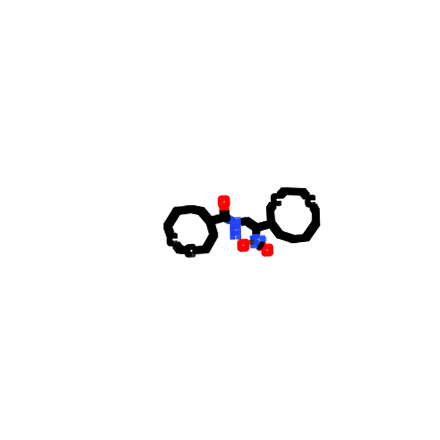 O=C(NCC(C1CCCCCCCCCC1)[N+](=O)[O-])C1CCCCCCCCC1